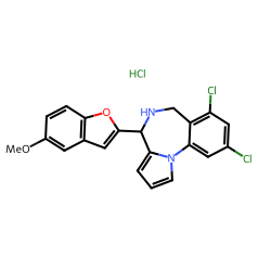 COc1ccc2oc(C3NCc4c(Cl)cc(Cl)cc4-n4cccc43)cc2c1.Cl